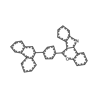 c1ccc2c(c1)cc(-c1ccc(-c3oc4ccccc4c4nc5ccccc5c3-4)cc1)c1ccccc12